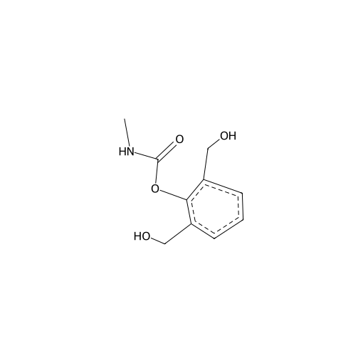 CNC(=O)Oc1c(CO)cccc1CO